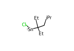 CC[C](CC)(CC(C)C)[Sn][Cl]